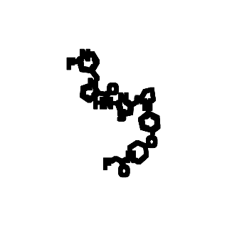 O=C(Nc1nc([C@H]2CCCN2c2ccc(OC3CCN(C(=O)CF)CC3)cc2)cs1)c1cccn1Cc1ccnc(F)c1